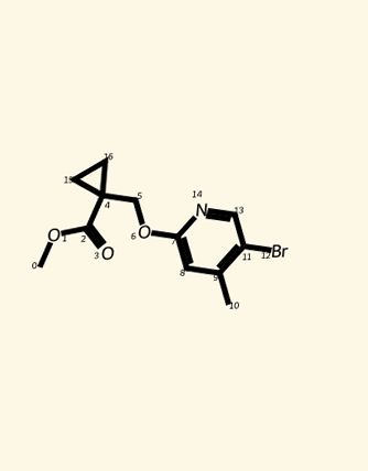 COC(=O)C1(COc2cc(C)c(Br)cn2)CC1